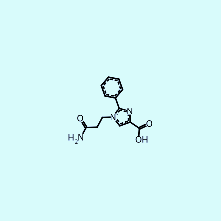 NC(=O)CCn1cc(C(=O)O)nc1-c1ccccc1